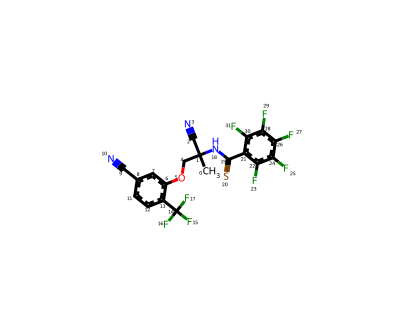 CC(C#N)(COc1cc(C#N)ccc1C(F)(F)F)NC(=S)c1c(F)c(F)c(F)c(F)c1F